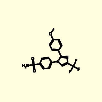 COc1ccc(-c2nc(C(F)(F)F)cn2-c2ccc(S(N)(=O)=O)cc2)cc1